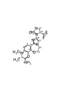 C[C@@H](C(N)=O)N(C)c1ccc2c(c1)OCCn1cc(N3C(=O)SC[C@H]3C(F)F)nc1-2